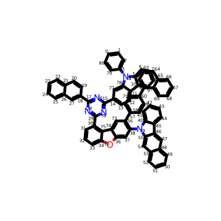 c1ccc(-n2c3ccccc3c3ccc(-c4nc(-c5ccc6ccccc6c5)nc(-c5cccc6oc7cc(-n8c9ccccc9c9cc%10ccccc%10cc98)c(-c8ccc(-c9cccc%10ccccc9%10)cc8)cc7c56)n4)cc32)cc1